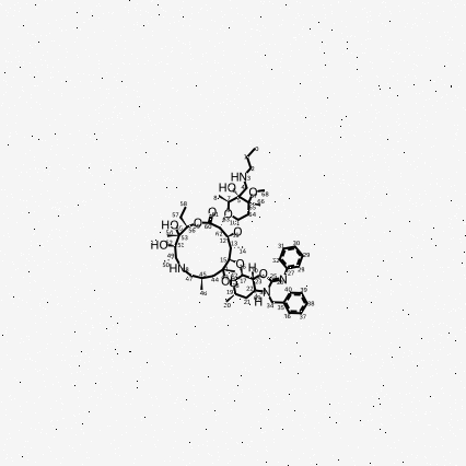 CCCNC[C@]1(O)[C@H](C)O[C@@H](O[C@H]2[C@H](C)[C@@H](O[C@@H]3O[C@H](C)C[C@H]4[C@H]3O/C(=N\c3ccccc3)N4Cc3ccccc3)[C@](C)(O)C[C@@H](C)CN[C@H](C)[C@@H](O)[C@](C)(O)[C@@H](CC)OC(=O)[C@@H]2C)C[C@@]1(C)OC